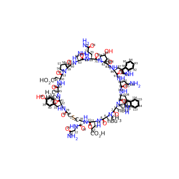 CCCC[C@H]1C(=O)N(C)[C@@H](CCCC)C(=O)N[C@@H](CCC(=O)O)C(=O)N[C@H](C(=O)NCC(N)=O)CSCC(=O)N[C@@H](Cc2ccc(O)cc2)C(=O)N(C)[C@@H](C)C(=O)N[C@@H](CC(=O)O)C(=O)N2CCC[C@H]2C(=O)N[C@@H](CN)C(=O)N[C@@H](CCC(N)=O)C(=O)N2C[C@H](O)C[C@H]2C(=O)N[C@@H](Cc2c[nH]c3ccccc23)C(=O)N[C@@H](CCN)C(=O)N[C@@H](Cc2c[nH]c3ccccc23)C(=O)N1C